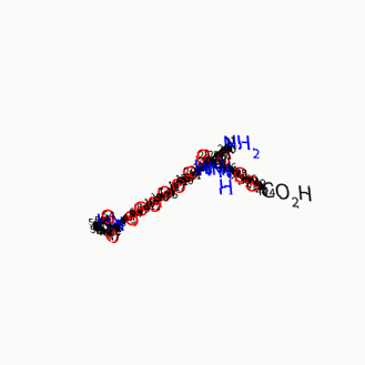 CC(NCCOCCOCCOCCOCCOCCOCCNC(=O)[C@H](CCCCN)NC(=O)NCCOCCOCCC(=O)O)=C1C(=O)CC(C)(C)CC1=O